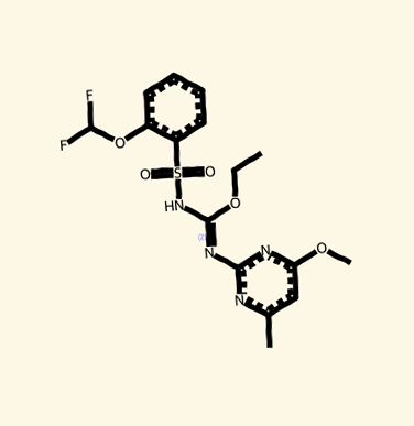 CCO/C(=N\c1nc(C)cc(OC)n1)NS(=O)(=O)c1ccccc1OC(F)F